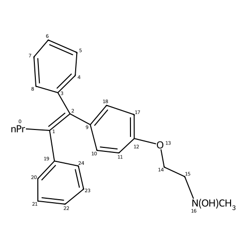 CCC/C(=C(\c1ccccc1)c1ccc(OCCN(C)O)cc1)c1ccccc1